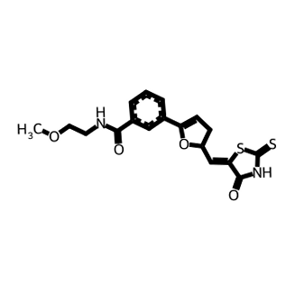 COCCNC(=O)c1cccc(C2=CCC(/C=C3\SC(=S)NC3=O)O2)c1